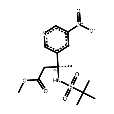 COC(=O)C[C@](C)(NS(=O)(=O)C(C)(C)C)c1cncc([N+](=O)[O-])c1